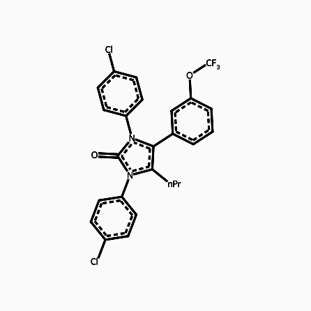 CCCc1c(-c2cccc(OC(F)(F)F)c2)n(-c2ccc(Cl)cc2)c(=O)n1-c1ccc(Cl)cc1